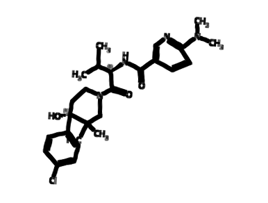 CC(C)[C@@H](NC(=O)c1ccc(N(C)C)nc1)C(=O)N1CC[C@](O)(c2ccc(Cl)cc2)C(C)(C)C1